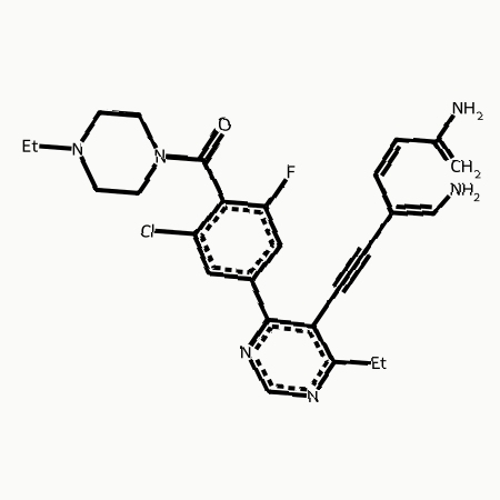 C=C(N)/C=C\C(C#Cc1c(CC)ncnc1-c1cc(F)c(C(=O)N2CCN(CC)CC2)c(Cl)c1)=C/N